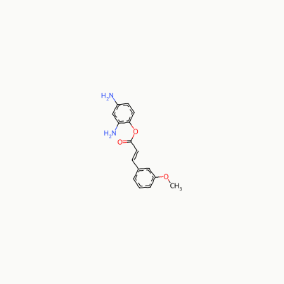 COc1cccc(C=CC(=O)Oc2ccc(N)cc2N)c1